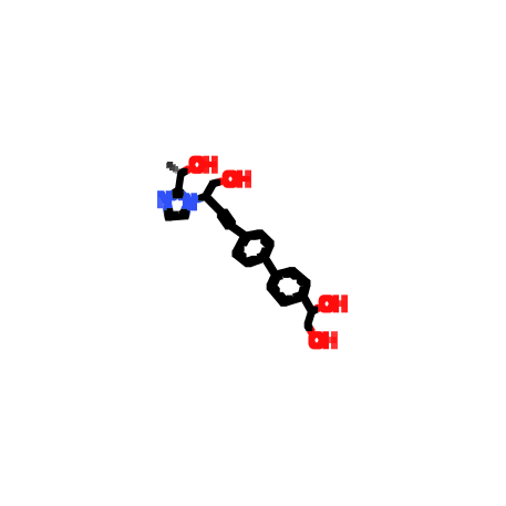 C[C@H](O)c1nccn1C(C#Cc1ccc(-c2ccc(C(O)CO)cc2)cc1)CO